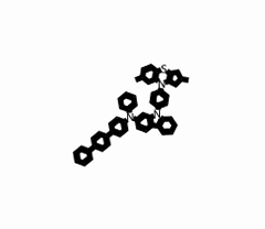 CC1C=CC2=C(C1)N(c1ccc(-n3c4c(c5ccc(N(C6=CC=CCC6)c6ccc(-c7ccc(-c8ccccc8)cc7)cc6)cc53)C=CCC4)cc1)C1=C(CC(C)C1)S2